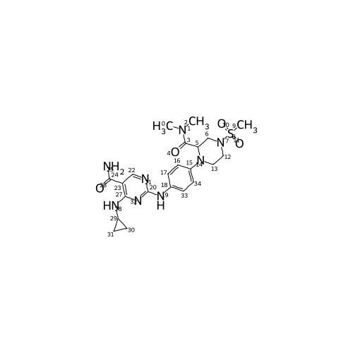 CN(C)C(=O)C1CN(S(C)(=O)=O)CCN1c1ccc(Nc2ncc(C(N)=O)c(NC3CC3)n2)cc1